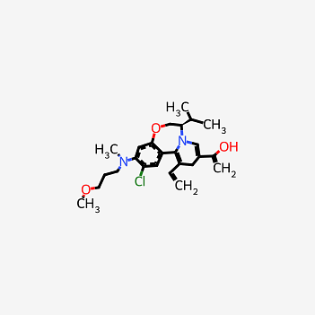 C=CC1=C2c3cc(Cl)c(N(C)CCCOC)cc3OC[C@@H](C(C)C)N2C=C(C(=C)O)C1